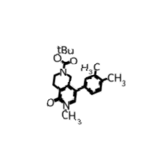 Cc1ccc(-c2cn(C)c(=O)c3c2CN(C(=O)OC(C)(C)C)CC3)cc1C